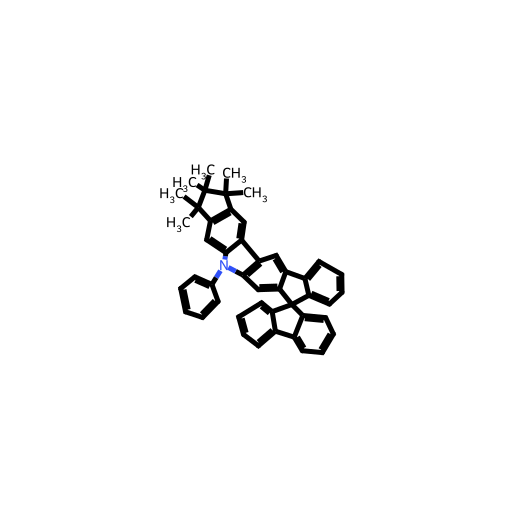 CC1(C)c2cc3c4cc5c(cc4n(-c4ccccc4)c3cc2C(C)(C)C1(C)C)C1(c2ccccc2-c2ccccc21)c1ccccc1-5